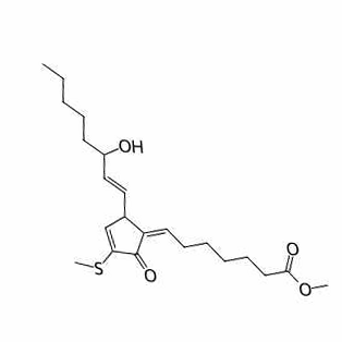 CCCCCC(O)/C=C/C1C=C(SC)C(=O)/C1=C\CCCCCC(=O)OC